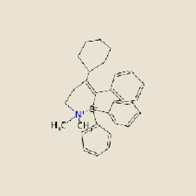 C[N+]1(C)CCC(C2CCCCC2)=C(c2ccccc2)[B-]1(c1ccccc1)c1ccccc1